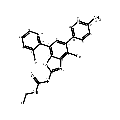 CCNC(=O)Nc1nc2c(F)c(-c3ccc(N)nc3)cc(-c3ncccc3F)c2s1